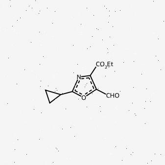 CCOC(=O)c1nc(C2CC2)oc1C=O